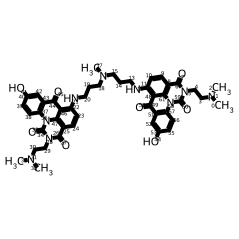 CN(C)CCn1c(=O)c2ccc(NCCCN(C)CCCNc3ccc4c(=O)n(CCN(C)C)c(=O)n5c6ccc(O)cc6c(=O)c3c45)c3c(=O)c4cc(O)ccc4n(c1=O)c23